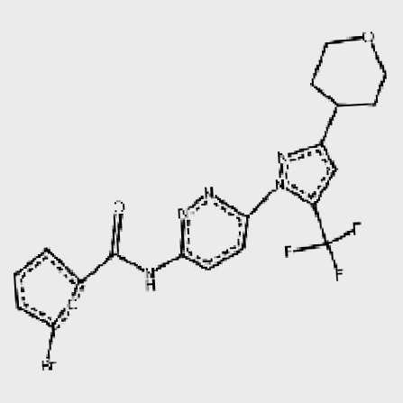 O=C(Nc1ccc(-n2nc(C3CCOCC3)cc2C(F)(F)F)nn1)c1cccc(Br)c1